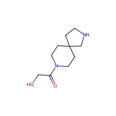 O=C(CO)N1CCC2(CCNC2)CC1